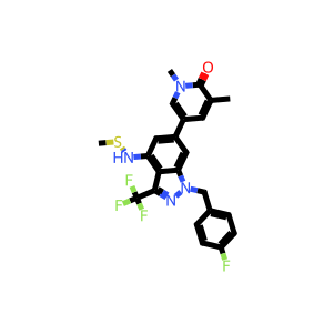 CSNc1cc(-c2cc(C)c(=O)n(C)c2)cc2c1c(C(F)(F)F)nn2Cc1ccc(F)cc1